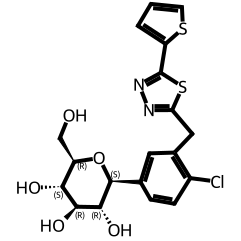 OC[C@H]1O[C@@H](c2ccc(Cl)c(Cc3nnc(-c4cccs4)s3)c2)[C@H](O)[C@@H](O)[C@@H]1O